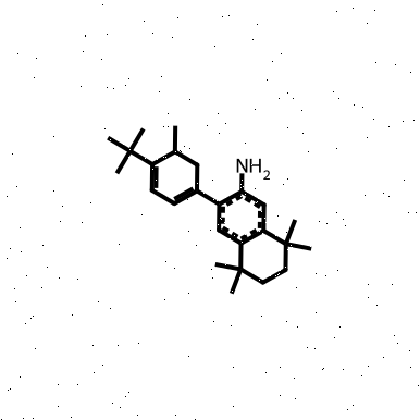 CC1CC(c2cc3c(cc2N)C(C)(C)CCC3(C)C)=CC=C1C(C)(C)C